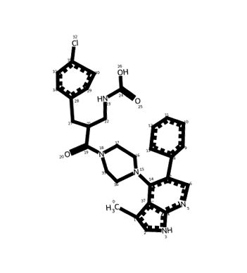 Cc1c[nH]c2ncc(-c3ccccc3)c(N3CCN(C(=O)C(CNC(=O)O)Cc4ccc(Cl)cc4)CC3)c12